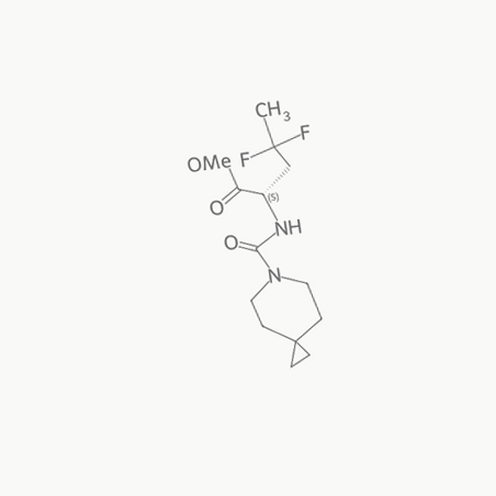 COC(=O)[C@H](CC(C)(F)F)NC(=O)N1CCC2(CC1)CC2